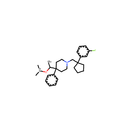 C[SiH](C)OC(C(C)(C)C)C1(c2ccccc2)CCN(CC2(c3cccc(F)c3)CCCC2)CC1